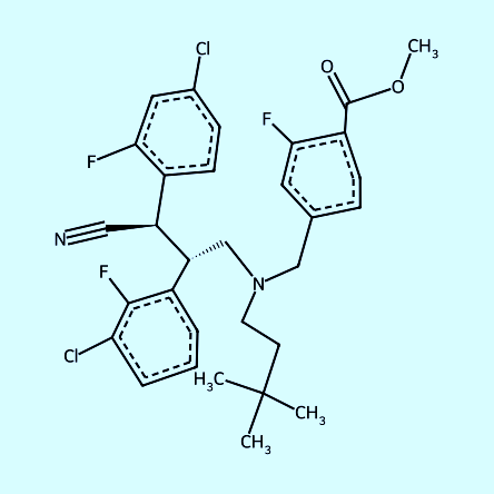 COC(=O)c1ccc(CN(CCC(C)(C)C)C[C@H](c2cccc(Cl)c2F)[C@@H](C#N)c2ccc(Cl)cc2F)cc1F